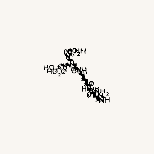 NC(Cc1c[nH]cn1)C(=O)NNC(=O)CCCCCNC(=O)CN(CCN(CC(=O)O)CC(=O)O)CCN(CC(=O)O)CC(=O)O